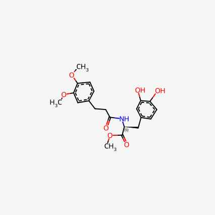 COC(=O)[C@H](Cc1ccc(O)c(O)c1)NC(=O)CCc1ccc(OC)c(OC)c1